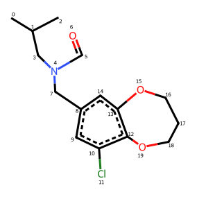 CC(C)CN(C=O)Cc1cc(Cl)c2c(c1)OCCCO2